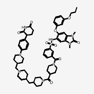 CCCOc1cccc(Oc2cc3c(cc2NS(=O)(=O)c2cccc(C(=O)N4CCC(C(=O)N5CCC(CC6CCN(CC7CCN(c8ccc(C9CCC(=O)NC9=O)cc8)CC7)CC6)CC5)CC4)c2)n(C)c(=O)n3C)c1